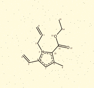 C=CCn1c(C=C)cc(C)c1C(=O)OCC